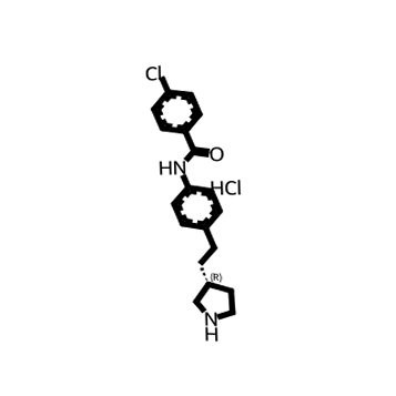 Cl.O=C(Nc1ccc(CC[C@@H]2CCNC2)cc1)c1ccc(Cl)cc1